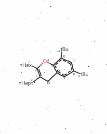 CCCCCCCC1=C(CCCCCC)Oc2c(cc(C(C)(C)C)cc2C(C)(C)C)C1